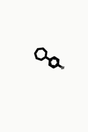 Brc1ccc(C2CCCCCC2)cc1